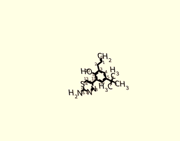 C=CCc1cc(C(C)(C)C)cc(C2=CSC(N)N=N2)c1O